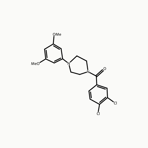 COc1cc(OC)cc(N2CCN(C(=O)c3ccc(Cl)c(Cl)c3)CC2)c1